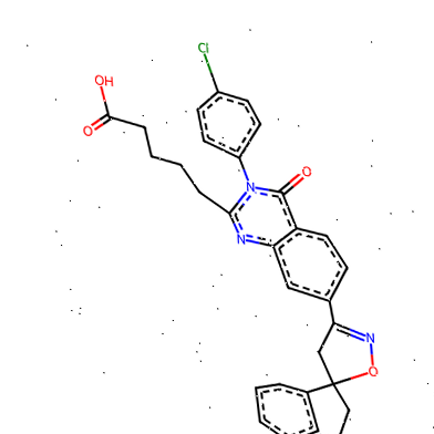 CCC1(c2ccccc2)CC(c2ccc3c(=O)n(-c4ccc(Cl)cc4)c(CCCCC(=O)O)nc3c2)=NO1